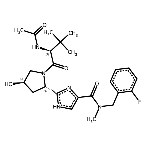 CC(=O)N[C@H](C(=O)N1C[C@H](O)C[C@H]1c1nc(C(=O)N(C)Cc2ccccc2F)c[nH]1)C(C)(C)C